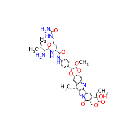 CCc1c2c(nc3ccc(OC(C(=O)OC)c4ccc(NC(=O)C(CCCNC(N)=O)NC(=O)C(N)C(C)C)cc4)cc13)-c1cc3c(c(=O)n1C2)COC(=O)[C@]3(O)CC